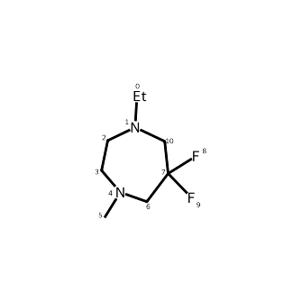 CCN1CCN(C)CC(F)(F)C1